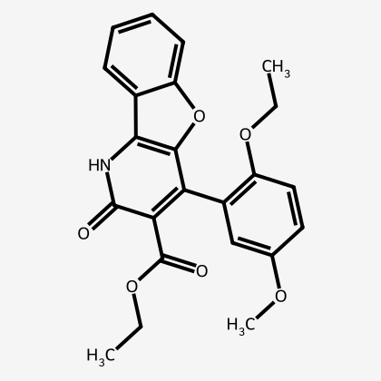 CCOC(=O)c1c(-c2cc(OC)ccc2OCC)c2oc3ccccc3c2[nH]c1=O